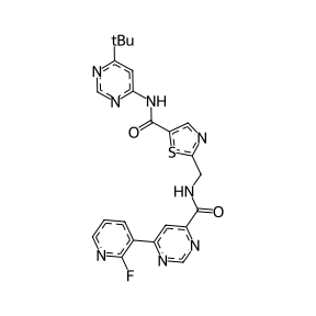 CC(C)(C)c1cc(NC(=O)c2cnc(CNC(=O)c3cc(-c4cccnc4F)ncn3)s2)ncn1